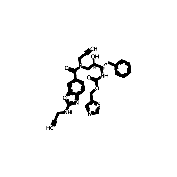 C#CCNc1nc2ccc(C(=O)N(CC#C)C[C@@H](O)[C@H](Cc3ccccc3)NC(=O)OCc3cncs3)cc2o1